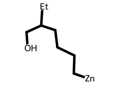 CCC(CO)CCC[CH2][Zn]